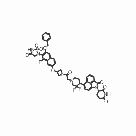 O=C1CCC(N2C(=O)c3cccc4c(C5CCN(CC(=O)N6CC(Oc7ccc8cc(OCc9ccccc9)c(N9CC(=O)NS9(=O)=O)c(F)c8c7)C6)CC5(F)F)ccc2c34)C(=O)N1